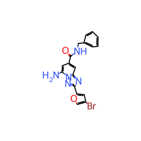 Nc1cc(C(=O)NCc2ccccc2)cc2nc(-c3cc(Br)co3)nn12